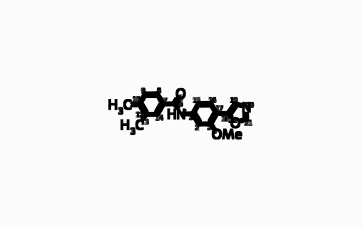 COc1cc(NC(=O)c2ccc(C)c(C)c2)ccc1-c1cnco1